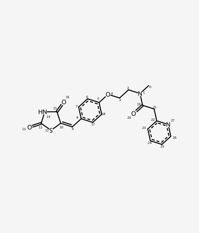 CN(CCOc1ccc(C=C2SC(=O)NC2=O)cc1)C(=O)Cc1ccccn1